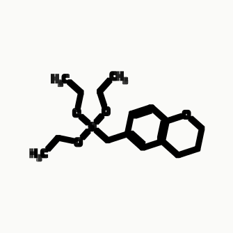 CCO[Si](Cc1ccc2c(c1)CCCO2)(OCC)OCC